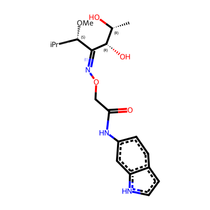 CO[C@H](/C(=N/OCC(=O)Nc1ccc2cc[nH]c2c1)[C@@H](O)[C@@H](C)O)C(C)C